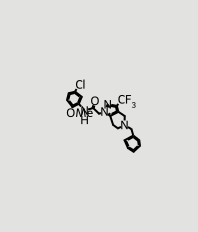 COc1ccc(Cl)cc1NC(=O)Cn1nc(C(F)(F)F)c2c1CCN(Cc1ccccc1)C2